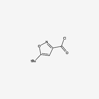 CC(C)(C)c1cc(C(=O)Cl)no1